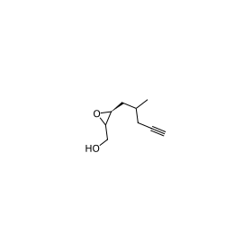 C#CCC(C)C[C@@H]1OC1CO